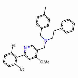 CCc1cccc(CC)c1-c1cc(OC)c(CN(CCc2ccccc2)Cc2ccc(C)cc2)cn1